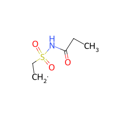 [CH2]CS(=O)(=O)NC(=O)CC